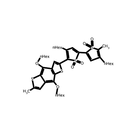 CCCCCCOc1c2cc(C3=C(CCCCCC)C=C(C4=CC(CCCCCC)=C(C)S4(=O)=O)S3(=O)=O)sc2c(OCCCCCC)c2cc(C)sc12